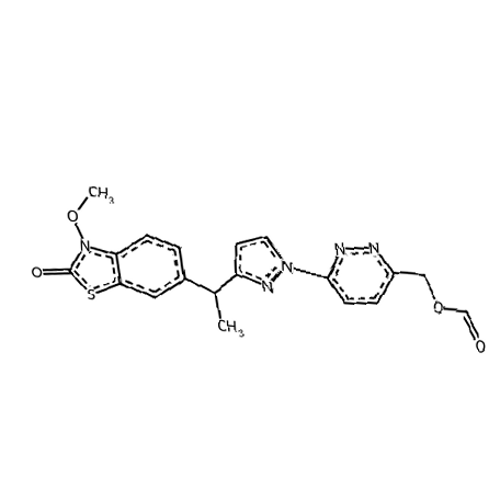 COn1c(=O)sc2cc(C(C)c3ccn(-c4ccc(COC=O)nn4)n3)ccc21